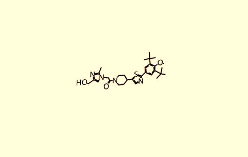 COc1c(C(C)(C)C)cc(-c2ncc(C3CCN(C(=O)Cn4cc(CO)nc4C)CC3)s2)cc1C(C)(C)C